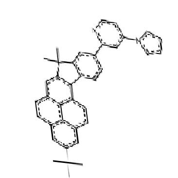 CC(C)(C)c1cc2ccc3cc4c(c5ccc(c1)c2c35)-c1ccc(-c2cc(-n3cccc3)ccn2)cc1C4(C)C